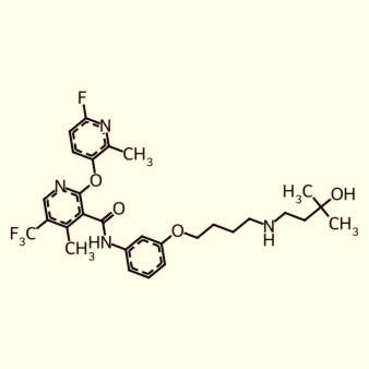 Cc1nc(F)ccc1Oc1ncc(C(F)(F)F)c(C)c1C(=O)Nc1cccc(OCCCCNCCC(C)(C)O)c1